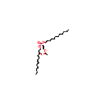 CCCCCCCCCCCCOP(=O)(CCOC(C)=O)OCCCCCCCCCCCC